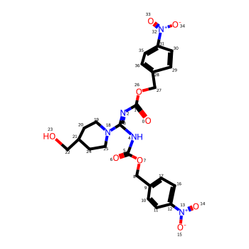 O=C(/N=C(\NC(=O)OCc1ccc([N+](=O)[O-])cc1)N1CCC(CO)CC1)OCc1ccc([N+](=O)[O-])cc1